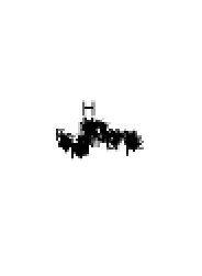 Fc1ccc(-c2nccc3[nH]c(-c4n[nH]c5ccc(-c6cncc(CN7CCC(F)(F)C7)c6)nc45)cc23)s1